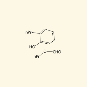 CCCOC=O.CCCc1ccccc1O